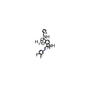 COc1c(C(=O)NCc2cccs2)ccc2[nH]nc(/C=C/c3ccc(F)c(F)c3)c12